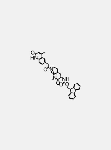 CNC(=O)C(CC1CCN(C(=O)Cc2ccc3[nH]c(=O)cc(C)c3c2)CC1)NC(=O)OCC1c2ccccc2-c2ccccc21